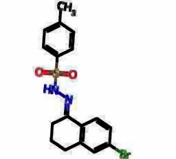 Cc1ccc(S(=O)(=O)N/N=C2\CCCc3cc(Br)ccc32)cc1